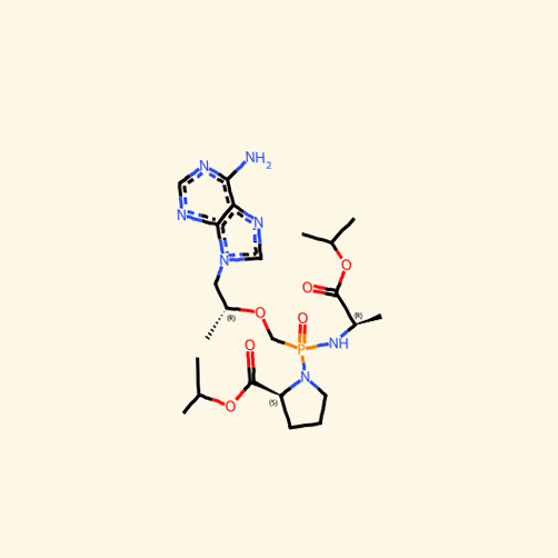 CC(C)OC(=O)[C@@H](C)NP(=O)(CO[C@H](C)Cn1cnc2c(N)ncnc21)N1CCC[C@H]1C(=O)OC(C)C